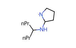 CCCC(CCC)NC1CCC[N]1